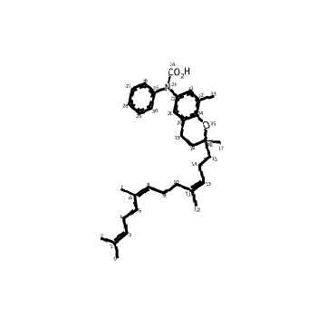 CC(C)=CCCC(C)=CCCC(C)=CCC[C@]1(C)CCc2cc(N(C(=O)O)c3ccccc3)cc(C)c2O1